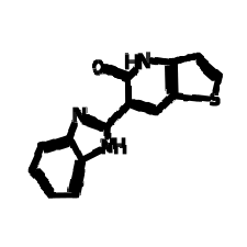 O=c1[nH]c2ccsc2cc1-c1nc2ccccc2[nH]1